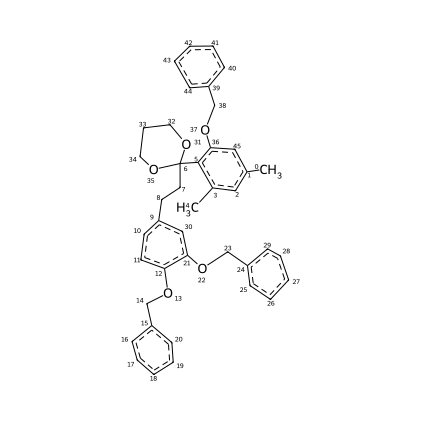 Cc1cc(C)c(C2(CCc3ccc(OCc4ccccc4)c(OCc4ccccc4)c3)OCCCO2)c(OCc2ccccc2)c1